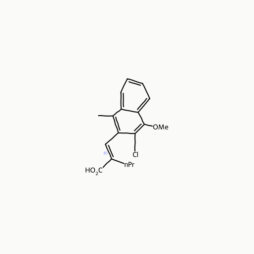 CCC/C(=C\c1c(Cl)c(OC)c2ccccc2c1C)C(=O)O